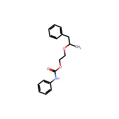 CC(Cc1ccccc1)OCCOC(=O)Nc1ccccc1